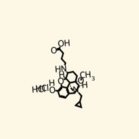 CO[C@@]12CC[C@H](NCCCC(=O)O)[C@@H]3Oc4c(O)ccc5c4[C@@]31CCN(CC1CC1)[C@@H]2C5.Cl.Cl